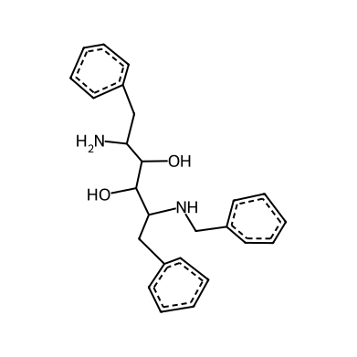 NC(Cc1ccccc1)C(O)C(O)C(Cc1ccccc1)NCc1ccccc1